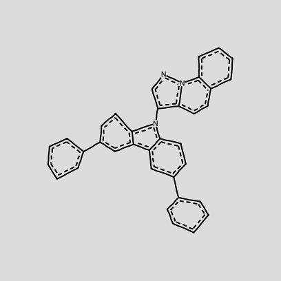 c1ccc(-c2ccc3c(c2)c2cc(-c4ccccc4)ccc2n3-c2cnn3c2ccc2ccccc23)cc1